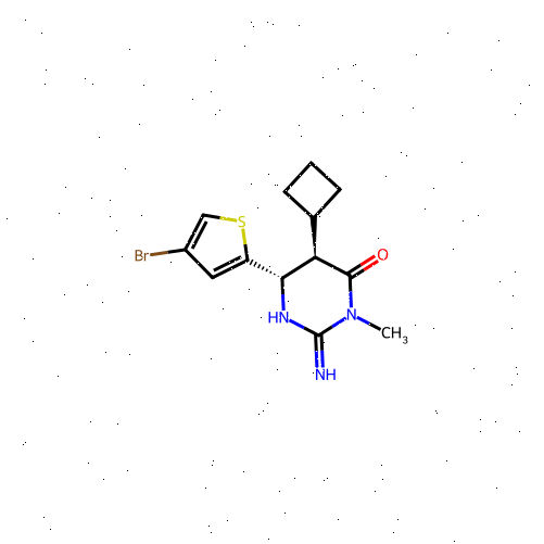 CN1C(=N)N[C@H](c2cc(Br)cs2)[C@@H](C2CCC2)C1=O